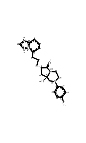 O=C1[C@@H](CCCc2cccc3ncnn23)C[C@H]2CN(c3ccc(F)cc3)CCN12